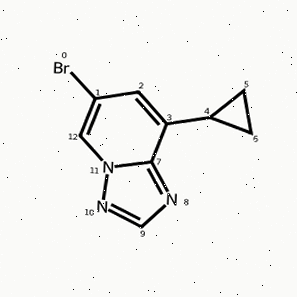 Brc1cc(C2CC2)c2ncnn2c1